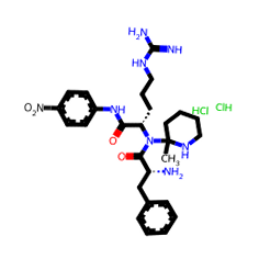 CC1(N(C(=O)[C@H](N)Cc2ccccc2)[C@@H](CCCNC(=N)N)C(=O)Nc2ccc([N+](=O)[O-])cc2)CCCCN1.Cl.Cl